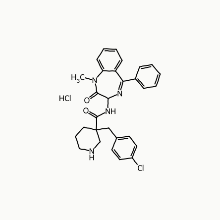 CN1C(=O)C(NC(=O)C2(Cc3ccc(Cl)cc3)CCCNC2)N=C(c2ccccc2)c2ccccc21.Cl